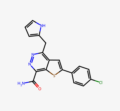 NC(=O)c1nnc(Cc2ccc[nH]2)c2cc(-c3ccc(Cl)cc3)sc12